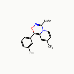 CNC1=NOC(c2cccc(C#N)c2)=C2C=C(C(F)(F)F)C=CN12